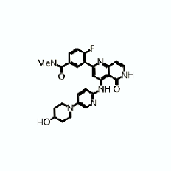 CNC(=O)c1ccc(F)c(-c2cc(Nc3ccc(N4CCC(O)CC4)cn3)c3c(=O)[nH]ccc3n2)c1